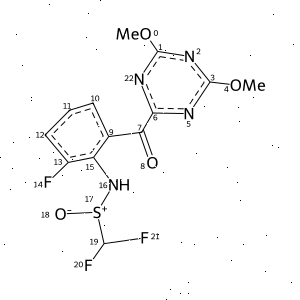 COc1nc(OC)nc(C(=O)c2cccc(F)c2N[S+]([O-])C(F)F)n1